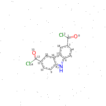 O=C(Cl)c1ccc2[nH]c3ccc(C(=O)Cl)cc3c2c1